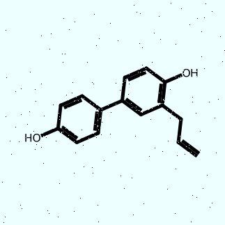 C=CCc1cc(-c2ccc(O)cc2)ccc1O